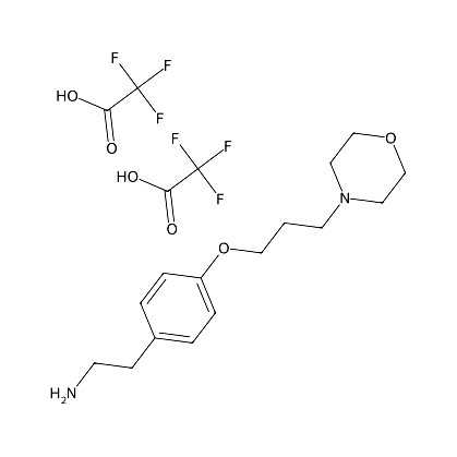 NCCc1ccc(OCCCN2CCOCC2)cc1.O=C(O)C(F)(F)F.O=C(O)C(F)(F)F